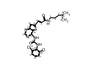 CN(C)CCCNC(=O)C=Cc1cc2ncnc(NC(=O)Nc3c(Cl)cccc3Cl)c2s1